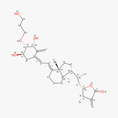 C=C1/C(=C\C=C2/CCC[C@]3(C)[C@@H]([C@H](C)C[C@@H]4OC(=O)C(=C)[C@@H]4C)CC[C@@H]23)C[C@@H](O)[C@H](OCCCO)[C@@H]1O